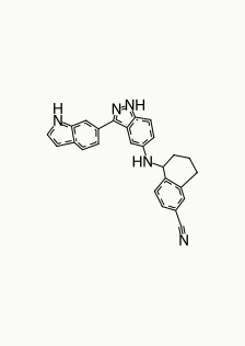 N#Cc1ccc2c(c1)CCCC2Nc1ccc2[nH]nc(-c3ccc4cc[nH]c4c3)c2c1